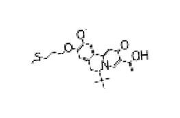 C=C(O)c1cn2c(cc1=O)-c1cc(OC)c(OCCCSC)cc1CC2C(C)(C)C